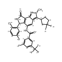 Cn1nc2c3c(c(NC(=O)c4cc(F)cc(C(F)(F)F)c4)cc2c1C1CCC(F)(F)C1)C(c1cc(F)ccc1Cl)NC3=O